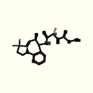 C[C@H](NC(=O)OC(C)(C)C)C(=O)NC1C(=O)C=C2N(CCC2(C)C)c2ncccc21